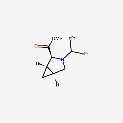 CCCC(CCC)N1C[C@H]2C[C@H]2[C@H]1C(=O)OC